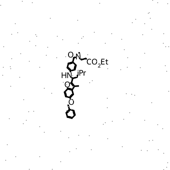 CCOC(=O)CCN(C)C(=O)c1ccc(NC(CC(C)C)c2oc3ccc(OCc4ccccc4)cc3c2C)cc1